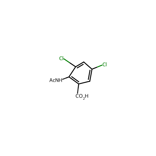 CC(=O)Nc1c(Cl)cc(Cl)cc1C(=O)O